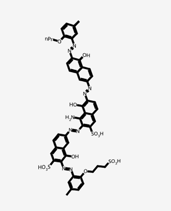 CCCOc1ccc(C)cc1N=Nc1ccc2cc(N=Nc3ccc4cc(S(=O)(=O)O)c(N=Nc5ccc6cc(S(=O)(=O)O)c(N=Nc7cc(C)ccc7OCCCS(=O)(=O)O)c(O)c6c5)c(N)c4c3O)ccc2c1O